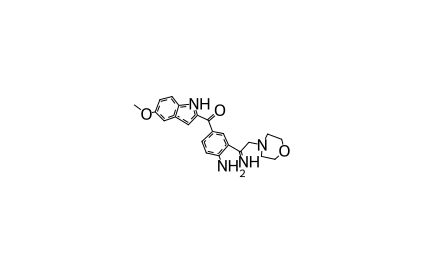 COc1ccc2[nH]c(C(=O)c3ccc(N)c(C(=N)CN4CCOCC4)c3)cc2c1